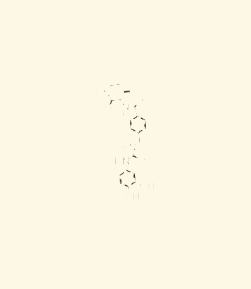 Cc1ccc(NC(=O)NCc2ccc3c(c2)CN(C2C(=O)CCNC2=O)C3=O)cc1O